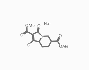 COC(=O)C1=C([O-])C2CCC(C(=O)OC)CN2C1=O.[Na+]